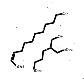 CCCCCCCC/C=C\CCCCCCCCO.CCCCCCCCCCCCCC(CO)CCCCCCCCCCC